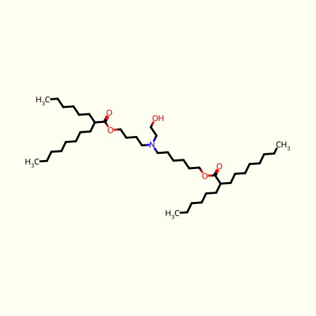 CCCCCCCCC(CCCCCC)C(=O)OCCCCCCN(CCO)CCCCOC(=O)C(CCCCCC)CCCCCCCC